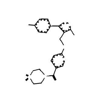 Cc1ccc(-c2noc(C)c2COc2ccc(C(=O)N3CCS(=O)(=O)CC3)cn2)cc1